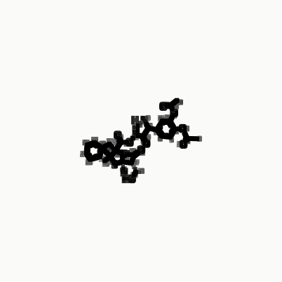 CC(=O)Oc1ccc(C(N)C(=O)NOC(=O)[C@]2(Cc3ccccc3)N3C(=O)[C@H](CO)[C@H]3SC2(C)C)cc1OC(C)=O